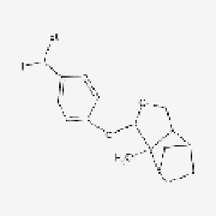 CCC(I)c1ccc(OC2OCC3C4CCC(C4)C23C)cc1